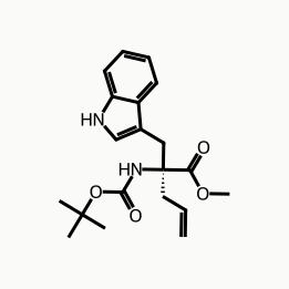 C=CC[C@@](Cc1c[nH]c2ccccc12)(NC(=O)OC(C)(C)C)C(=O)OC